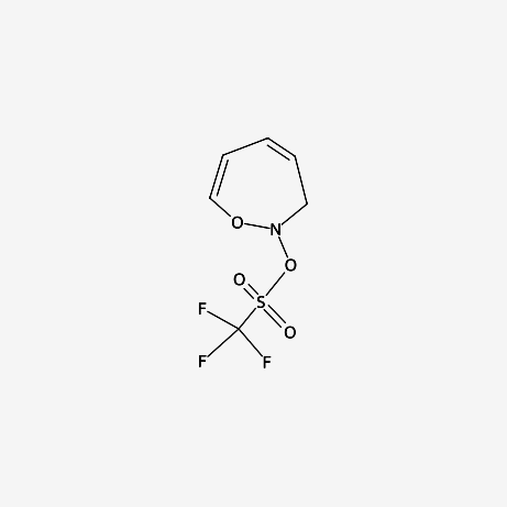 O=S(=O)(ON1CC=CC=CO1)C(F)(F)F